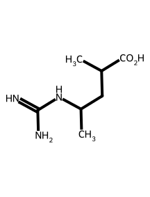 CC(CC(C)C(=O)O)NC(=N)N